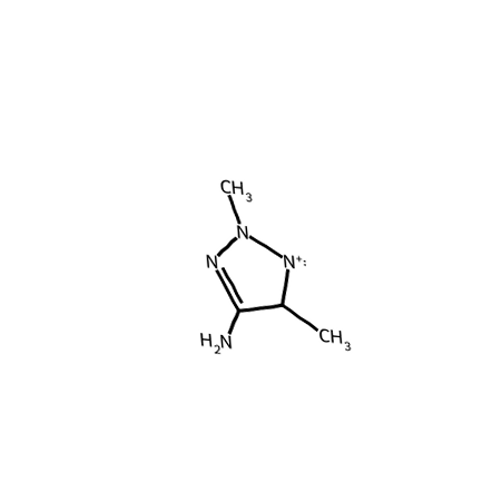 CC1[N+]N(C)N=C1N